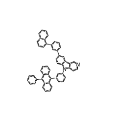 c1ccc(-c2c3ccccc3c(-c3cccc(-n4c5ccncc5c5cc(-c6cccc(-c7cccc8ccccc78)c6)ccc54)c3)c3ccccc23)cc1